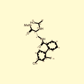 CNC(=O)[C@@H](CNC(=O)c1ccccc1-c1ccc(Cl)cc1F)NC(C)O